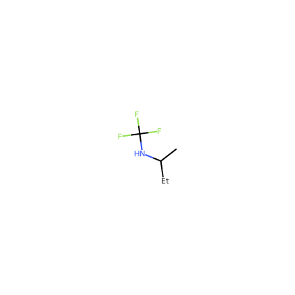 CCC(C)NC(F)(F)F